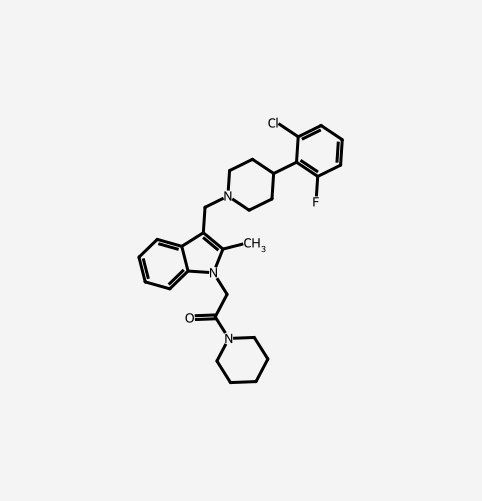 Cc1c(CN2CCC(c3c(F)cccc3Cl)CC2)c2ccccc2n1CC(=O)N1CCCCC1